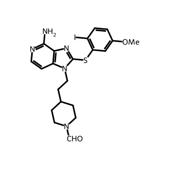 COc1ccc(I)c(Sc2nc3c(N)nccc3n2CCC2CCN(C=O)CC2)c1